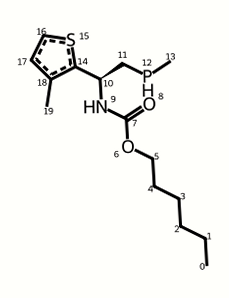 CCCCCCOC(=O)N[C@H](CPC)c1sccc1C